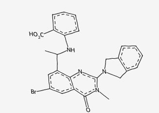 CC(Nc1ccccc1C(=O)O)c1cc(Br)cc2c(=O)n(C)c(N3Cc4ccccc4C3)nc12